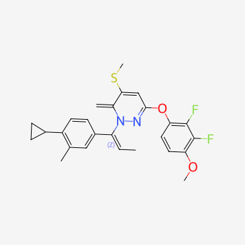 C=C1C(SC)=CC(Oc2ccc(OC)c(F)c2F)=NN1/C(=C\C)c1ccc(C2CC2)c(C)c1